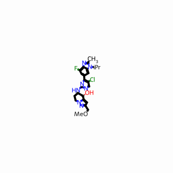 COCc1cc2n(n1)CC[C@H](Nc1ncc(Cl)c(-c3cc(F)c4nc(C)n(C(C)C)c4c3)n1)[C@@H]2O